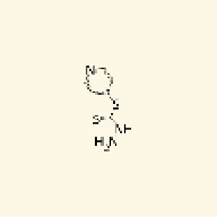 NNC(=S)Sc1ccncc1